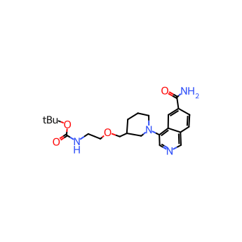 CC(C)(C)OC(=O)NCCOCC1CCCN(c2cncc3ccc(C(N)=O)cc23)C1